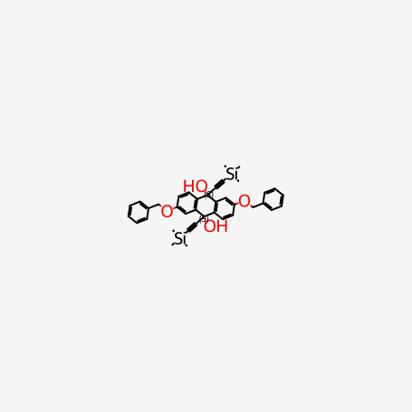 C[Si](C)(C)C#C[C@]1(O)c2ccc(OCc3ccccc3)cc2[C@](O)(C#C[Si](C)(C)C)c2ccc(OCc3ccccc3)cc21